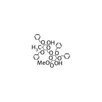 COC(=O)C1O[C@H](OCC2O[C@H](O)C(OCc3ccccc3)C(C)[C@@H]2OCc2ccccc2)C(OCc2ccccc2)C(OCc2ccccc2)[C@@H]1O